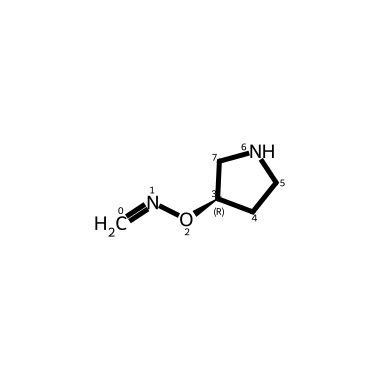 C=NO[C@@H]1CCNC1